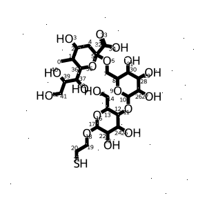 CC1C(O)CC(OCC2OC(OC3C(CO)OC(OCCS)C(O)C3O)C(O)C(O)C2O)(C(=O)O)OC1C(O)C(O)CO